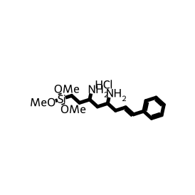 CO[Si](CCC(N)CC(N)CC=Cc1ccccc1)(OC)OC.Cl